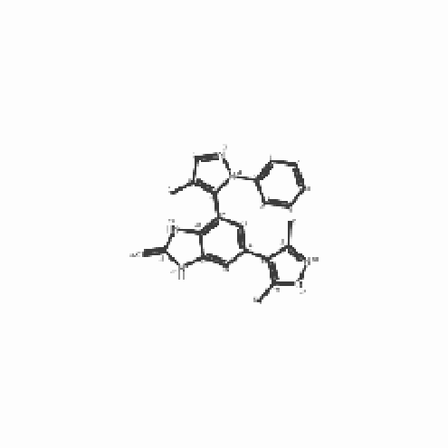 Cc1cnn(-c2ccccc2)c1-c1cc(-c2c(C)noc2C)cc2[nH]c(=O)[nH]c12